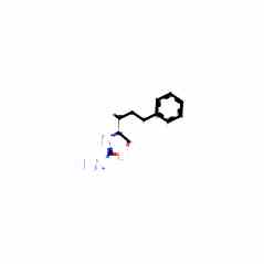 CC(CCc1ccccc1)[C@H]1COC(N)=N1